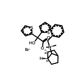 C[N+](C)(Cc1ccccc1)C1C2CC[C@@H]1[C@H](OC(=O)C(O)(c1cccs1)c1cccs1)C2.[Br-]